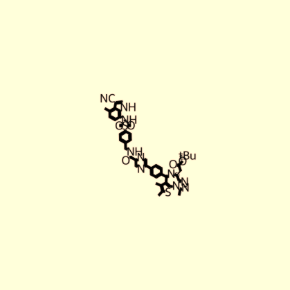 Cc1sc2c(c1C)C(c1ccc(-c3cnc(C(=O)NCc4ccc(S(=O)(=O)Nc5ccc(C)c6c(C#N)c[nH]c56)cc4)cn3)cc1)=N[C@@H](CC(=O)OC(C)(C)C)c1nnc(C)n1-2